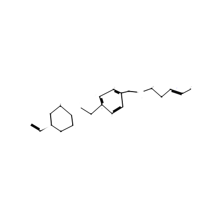 C=C[C@H]1CC[C@H](CCc2ccc(COCC/C=C/C)cc2)CC1